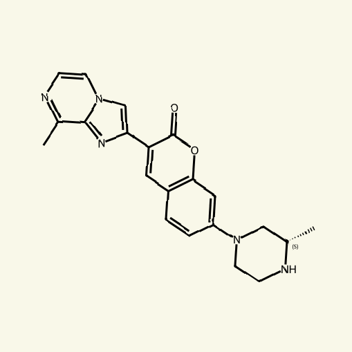 Cc1nccn2cc(-c3cc4ccc(N5CCN[C@@H](C)C5)cc4oc3=O)nc12